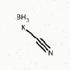 B.N#[C][K]